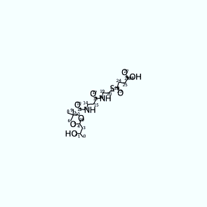 CC(O)CC1OCC(C)(C)[C@H](C(=O)NCCC(=O)NCCSC(=O)CCC(=O)O)O1